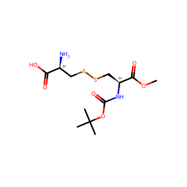 COC(=O)[C@H](CSSC[C@H](N)C(=O)O)NC(=O)OC(C)(C)C